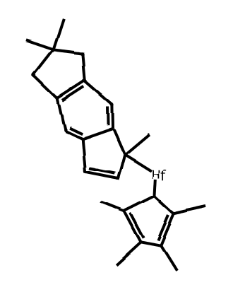 CC1=C(C)[CH]([Hf][C]2(C)C=Cc3cc4c(cc32)CC(C)(C)C4)C(C)=C1C